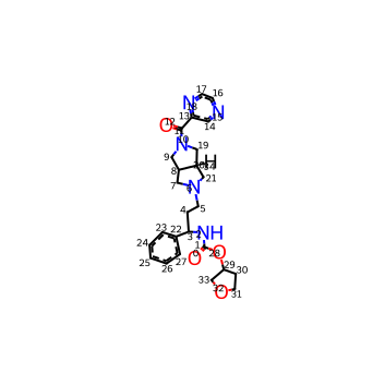 O=C(NC(CCN1CC2CN(C(=O)c3cnccn3)C[C@@H]2C1)c1ccccc1)OC1CCOC1